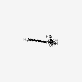 NCCCCCCCCCC=CCO[C@@H]1O[C@H](CO)[C@H](O)[C@H](O)[C@H]1O